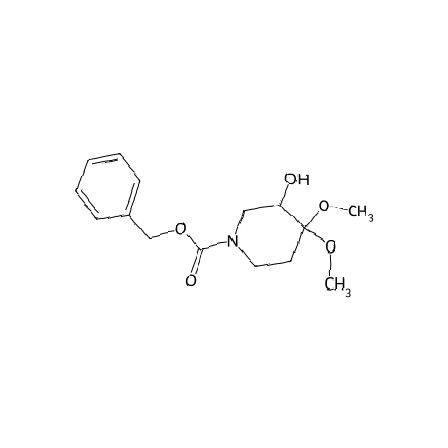 COC1(OC)CCN(C(=O)OCc2ccccc2)CC1O